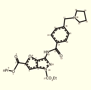 CCCOC(=O)c1cc2c(o1)c(NC(=O)c1ccc(CN3CCCC3)cc1)nn2C(=O)OCC